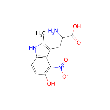 Cc1[nH]c2ccc(O)c([N+](=O)[O-])c2c1CC(N)C(=O)O